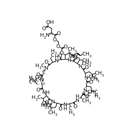 CC=CC[C@@H](C)C(OC(=O)OCOC(=O)[C@@H](N)CC(=O)O)C1C(=O)NC(CC)C(=O)N(C)CC(=O)N(C)[C@@H](CC(C)C)C(=O)NC(C(C)C)C(=O)N(C)C(CC(C)C)C(=O)NC(C)C(=O)NC(C)C(=O)N(C)C(CC(C)C)C(=O)N(C)C(CC(C)C)C(=O)N(C)C(C(C)C)C(=O)N1C